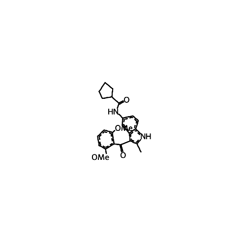 COc1cccc(OC)c1C(=O)c1c(C)[nH]c2ccc(NC(=O)C3CCCC3)cc12